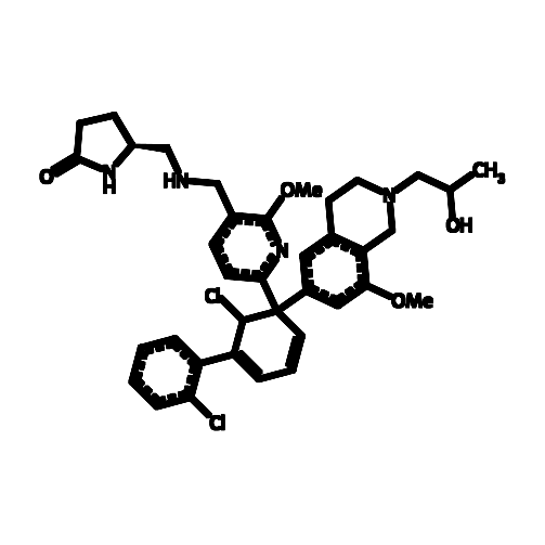 COc1cc(C2(c3ccc(CNC[C@@H]4CCC(=O)N4)c(OC)n3)C=CC=C(c3ccccc3Cl)C2Cl)cc2c1CN(CC(C)O)CC2